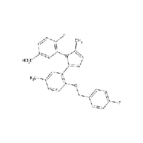 Cc1ccc(-c2cc(C(F)(F)F)ccc2OCc2ccc(F)cc2)n1-c1cc(C(=O)O)ccc1F